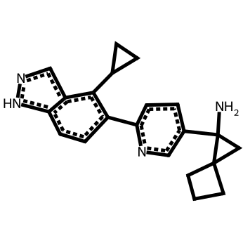 NC1(c2ccc(-c3ccc4[nH]ncc4c3C3CC3)nc2)CC12CCC2